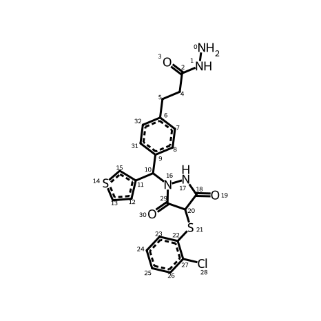 NNC(=O)CCc1ccc(C(c2ccsc2)N2NC(=O)C(Sc3ccccc3Cl)C2=O)cc1